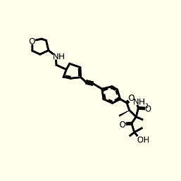 C[C@@H](C(=O)c1ccc(C#CC2=CCC(CNC3CCOCC3)C=C2)cc1)C(C)(C(N)=O)C(=O)C(C)(C)O